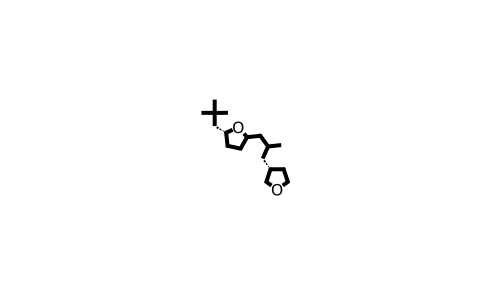 CC(CC1CC[C@H](CC(C)(C)C)O1)C[C@@H]1CCOC1